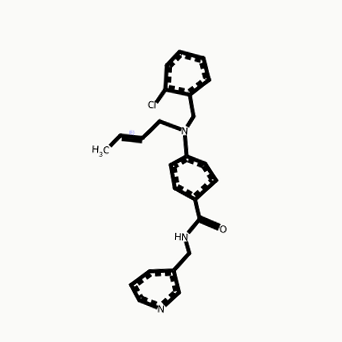 C/C=C/CN(Cc1ccccc1Cl)c1ccc(C(=O)NCc2cccnc2)cc1